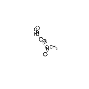 C[C@@H]1C[C@@H](Cn2ncc3cc(-c4cnn(C5CCCCO5)c4)ccc32)CN1Cc1ccccc1